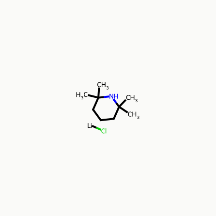 CC1(C)CCCC(C)(C)N1.[Li][Cl]